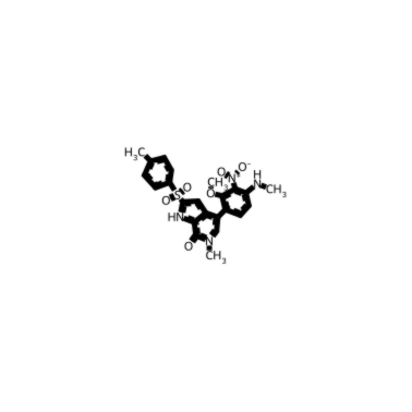 CNc1ccc(-c2cn(C)c(=O)c3[nH]c(S(=O)(=O)c4ccc(C)cc4)cc23)c(OC)c1[N+](=O)[O-]